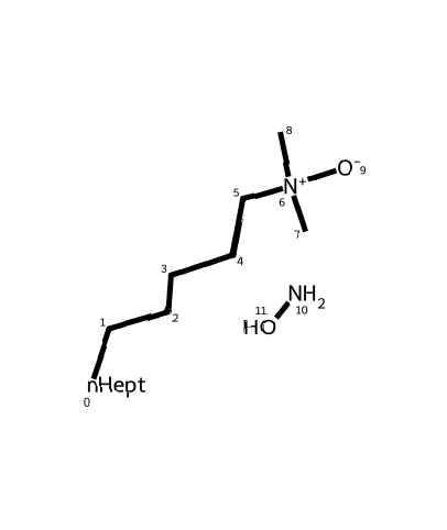 CCCCCCCCCCCC[N+](C)(C)[O-].NO